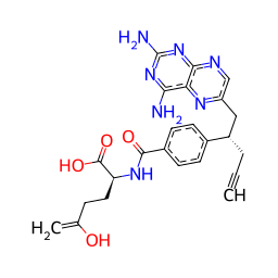 C#CC[C@@H](Cc1cnc2nc(N)nc(N)c2n1)c1ccc(C(=O)N[C@@H](CCC(=C)O)C(=O)O)cc1